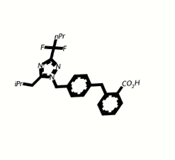 CCCC(F)(F)c1nc(CC(C)C)n(Cc2ccc(Cc3ccccc3C(=O)O)cc2)n1